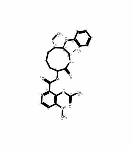 CC[C@H]1CCC[C@H](NC(=O)c2nccc(OC)c2OC(C)=O)C(=O)O[C@@H](C)[C@@H]1Oc1ccccc1